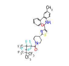 Cc1ccc(NC(=O)c2csc(C3CCN(C(=O)C(F)(F)C(F)(C(F)(F)F)C(F)(F)C(C(F)(F)F)(C(F)(F)F)C(F)(F)F)CC3)n2)c(-c2ccccc2)c1